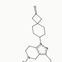 CC(=O)N1CCc2c(c(I)nn2C2CCC3(CC2)CC(=O)C3)C1